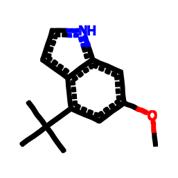 COc1cc(C(C)(C)C)c2cc[nH]c2c1